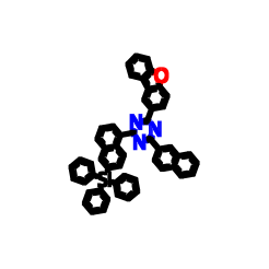 c1ccc([Si](c2ccccc2)(c2ccccc2)c2ccc3c(-c4nc(-c5ccc6ccccc6c5)nc(-c5ccc6oc7ccccc7c6c5)n4)cccc3c2)cc1